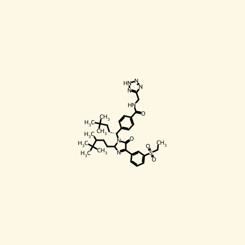 CCS(=O)(=O)c1cccc(C2=NC(CCC(C)C(C)(C)C)N([C@H](CCC(C)(C)C)c3ccc(C(=O)NCc4nn[nH]n4)cc3)C2=O)c1